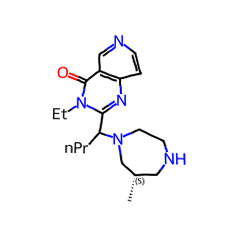 CCCC(c1nc2ccncc2c(=O)n1CC)N1CCNC[C@H](C)C1